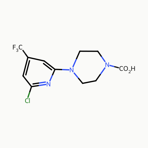 O=C(O)N1CCN(c2cc(C(F)(F)F)cc(Cl)n2)CC1